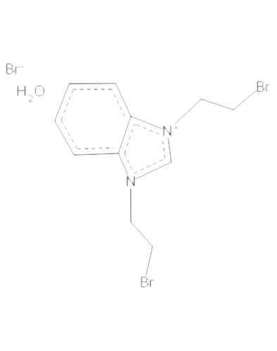 BrCCn1c[n+](CCBr)c2ccccc21.O.[Br-]